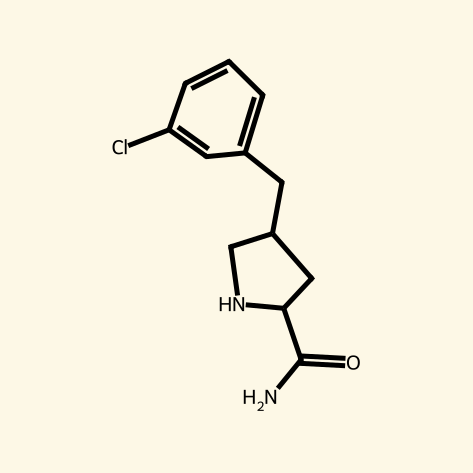 NC(=O)C1CC(Cc2cccc(Cl)c2)CN1